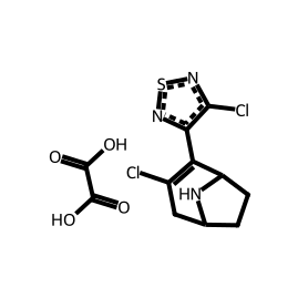 ClC1=C(c2nsnc2Cl)C2CCC(C1)N2.O=C(O)C(=O)O